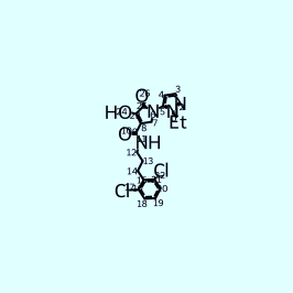 CCn1nccc1N1CC(C(=O)NCCCc2c(Cl)cccc2Cl)=C(O)C1=O